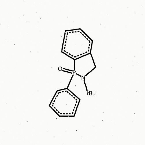 CC(C)(C)N1Cc2ccccc2P1(=O)c1ccccc1